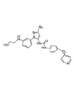 CC(C)(C)c1cc(NC(=O)Nc2ccc(Oc3ccncc3)cc2)n(-c2cccc(NCCO)c2)n1